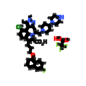 Cc1nn(C)c(C)c1-c1c(Cl)ccc2c(CCCOc3cccc4cc(F)ccc34)c(C(=O)O)n(CCN3CCC(N4CCNCC4)CC3)c12.O=C(O)C(F)(F)F